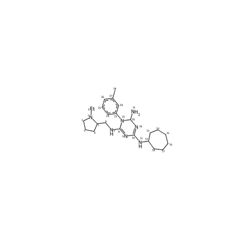 CCN1CCCC1CNC1=NC(NC2CCCCCC2)=NC(N)N1c1cccc(C)c1